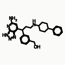 Nc1cc(C(CCNC2CCC(c3ccccc3)CC2)c2cccc(CO)c2)c2nn[nH]c2n1